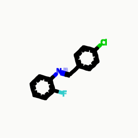 Fc1ccccc1/N=C/c1ccc(Cl)cc1